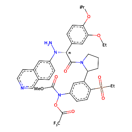 CCOc1cc([C@H](C(=O)N2CCCC2c2cc(N(OC(=O)C(F)(F)F)C(=O)OC)ccc2S(=O)(=O)CC)N(N)c2ccc3cnccc3c2)ccc1OC(C)C